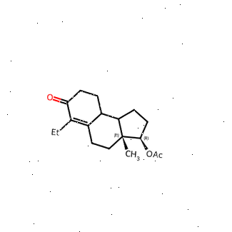 CCC1=C2CC[C@]3(C)C(CC[C@H]3OC(C)=O)C2CCC1=O